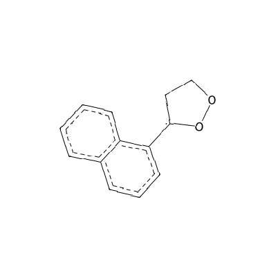 c1ccc2c([C]3CCOO3)cccc2c1